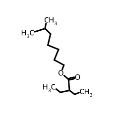 CCC(CC)C(=O)OCCCCCC(C)C